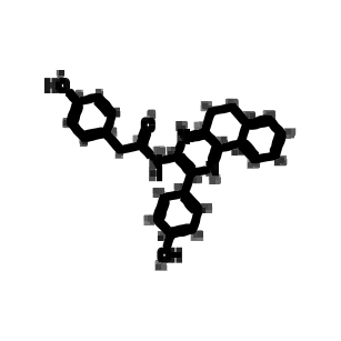 O=C(Cc1ccc(O)cc1)Nc1nc2c(nc1-c1ccc(O)cc1)-c1ccccc1CC2